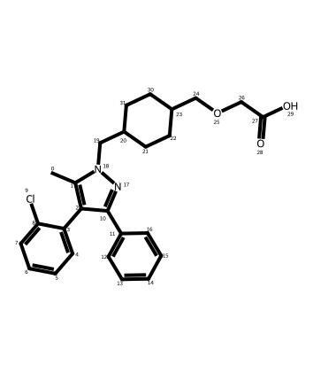 Cc1c(-c2ccccc2Cl)c(-c2ccccc2)nn1CC1CCC(COCC(=O)O)CC1